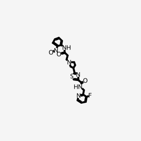 O=Nc1ccccc1NC(=O)CCN1CCC(c2nc(C(=O)NCc3ncccc3F)cs2)C1